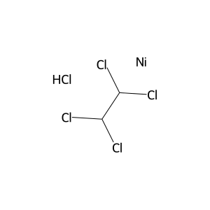 Cl.ClC(Cl)C(Cl)Cl.[Ni]